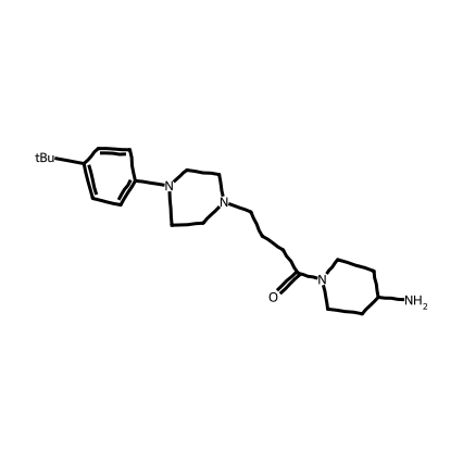 CC(C)(C)c1ccc(N2CCN(CCCC(=O)N3CCC(N)CC3)CC2)cc1